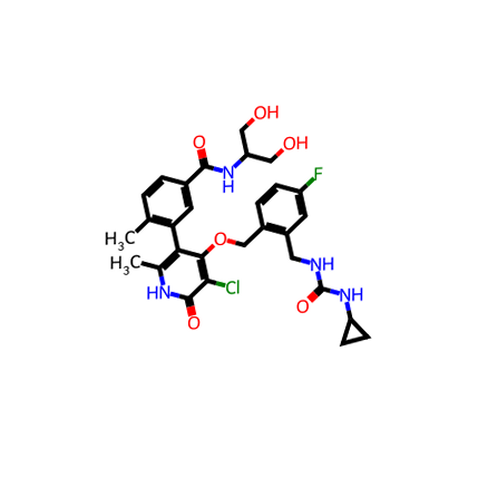 Cc1ccc(C(=O)NC(CO)CO)cc1-c1c(C)[nH]c(=O)c(Cl)c1OCc1ccc(F)cc1CNC(=O)NC1CC1